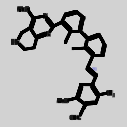 COc1cc(/C=C/c2cccc(-c3cccc(-c4nc5c(c(OC)n4)CNCC5)c3C)c2C)c(C(F)(F)F)cc1C=O